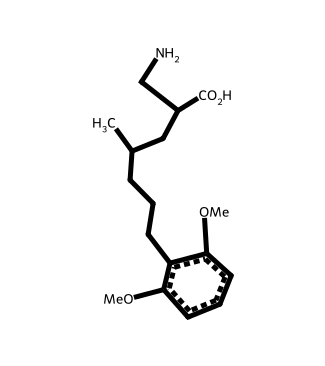 COc1cccc(OC)c1CCCC(C)CC(CN)C(=O)O